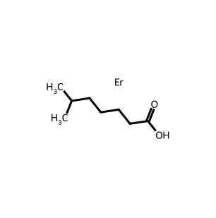 CC(C)CCCCC(=O)O.[Er]